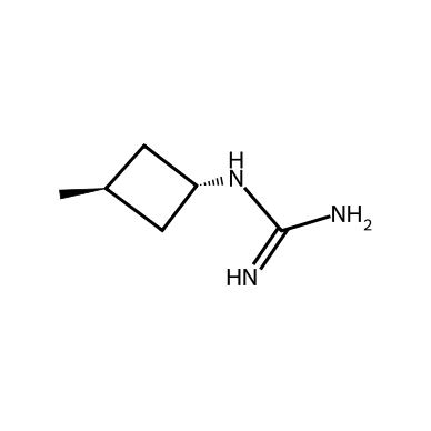 C[C@H]1C[C@H](NC(=N)N)C1